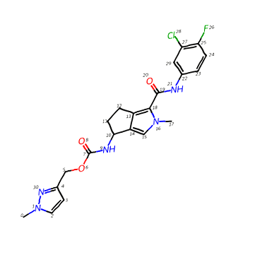 Cn1ccc(COC(=O)NC2CCc3c2cn(C)c3C(=O)Nc2ccc(F)c(Cl)c2)n1